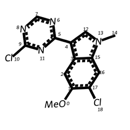 COc1cc2c(-c3ncnc(Cl)n3)cn(C)c2cc1Cl